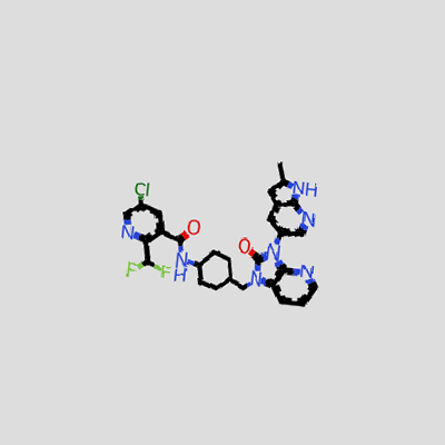 Cc1cc2cc(-n3c(=O)n(CC4CCC(NC(=O)c5cc(Cl)cnc5C(F)F)CC4)c4cccnc43)cnc2[nH]1